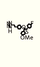 COc1ccc2c(Oc3ccc(/C=C/c4nnn[nH]4)cc3)c(-c3ccc(F)cc3)sc2c1